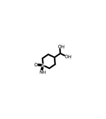 N=S1(=O)CCC(C(O)O)CC1